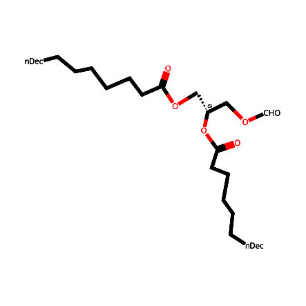 CCCCCCCCCCCCCCCCC(=O)OC[C@H](COC=O)OC(=O)CCCCCCCCCCCCCCC